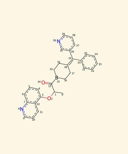 CC(Oc1cccc2ncccc12)C(=O)B1CCC(=C(c2ccccc2)c2cccnc2)CC1